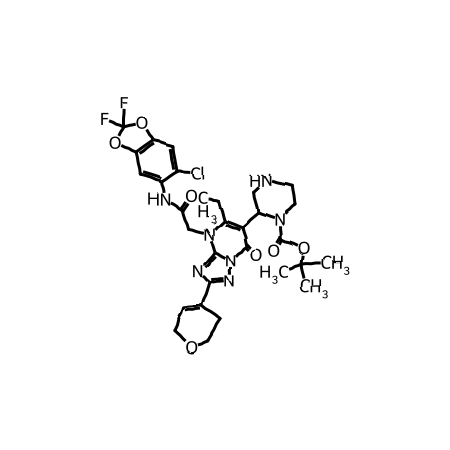 CCc1c(C2CNCCN2C(=O)OC(C)(C)C)c(=O)n2nc(C3=CCOCC3)nc2n1CC(=O)Nc1cc2c(cc1Cl)OC(F)(F)O2